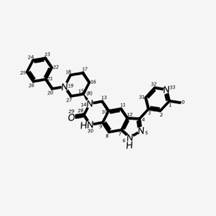 Cc1cc(-c2n[nH]c3cc4c(cc23)CN([C@@H]2CCCN(Cc3ccccc3)C2)C(=O)N4)ccn1